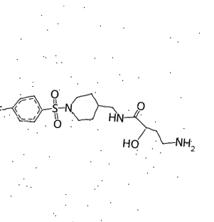 NCCC(O)C(=O)NCC1CCN(S(=O)(=O)c2ccc(F)cc2)CC1